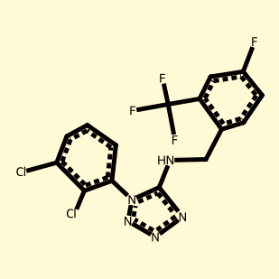 Fc1ccc(CNc2nnnn2-c2cccc(Cl)c2Cl)c(C(F)(F)F)c1